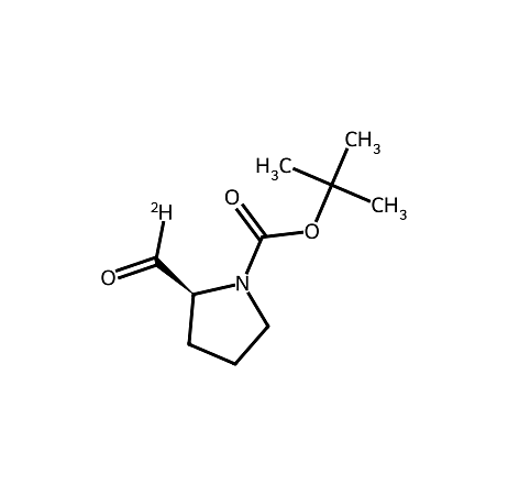 [2H]C(=O)[C@@H]1CCCN1C(=O)OC(C)(C)C